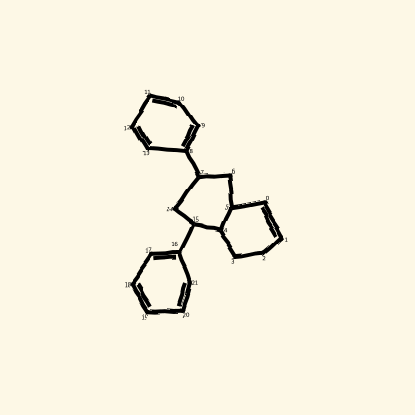 [C]1=CCCC2C1CC(c1ccccc1)CC2c1ccccc1